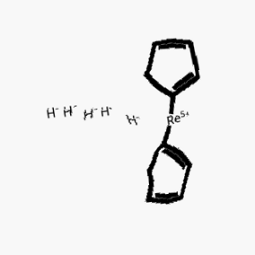 C1=CC[C]([Re+5][C]2=CC=CC2)=C1.[H-].[H-].[H-].[H-].[H-]